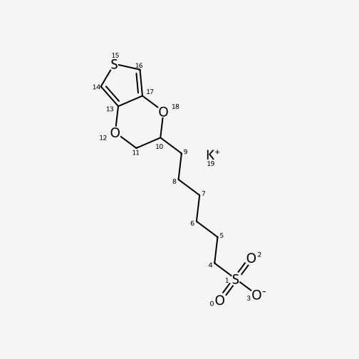 O=S(=O)([O-])CCCCCCC1COc2cscc2O1.[K+]